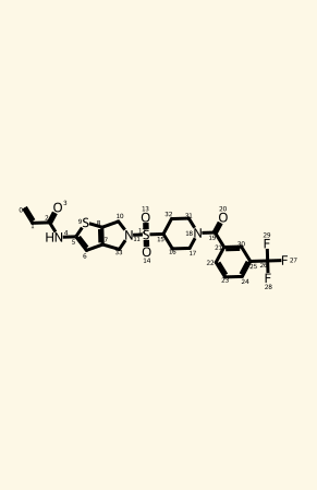 C=CC(=O)Nc1cc2c(s1)CN(S(=O)(=O)C1CCN(C(=O)c3cccc(C(F)(F)F)c3)CC1)C2